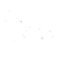 Cc1nnc(NC(=O)Oc2nc(C)sc2Nc2cccnc2)[nH]1